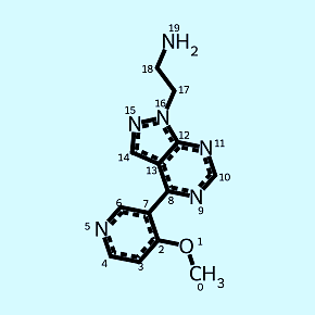 COc1ccncc1-c1ncnc2c1cnn2CCN